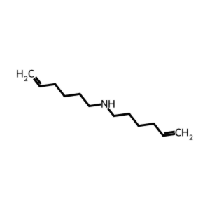 C=CCCCCNCCCCC=C